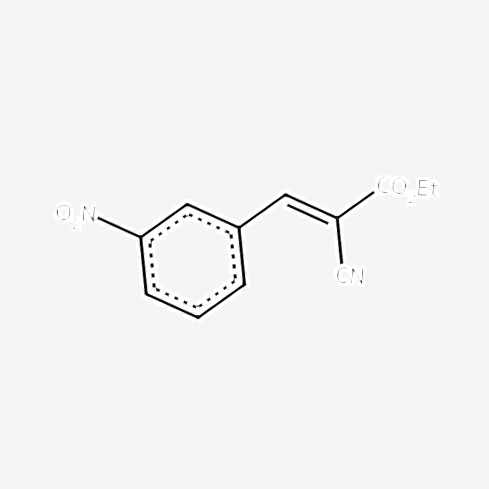 CCOC(=O)/C(C#N)=C/c1cccc([N+](=O)[O-])c1